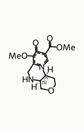 COC(=O)c1cn2c(c(OC)c1=O)CN[C@@H]1COCC[C@@H]12